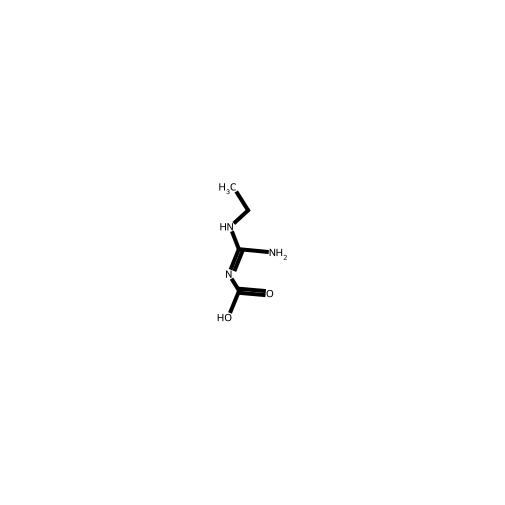 CCN/C(N)=N/C(=O)O